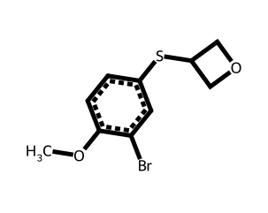 COc1ccc(SC2COC2)cc1Br